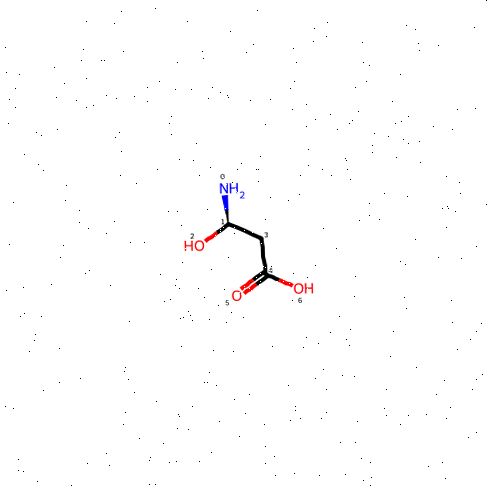 N[C@H](O)CC(=O)O